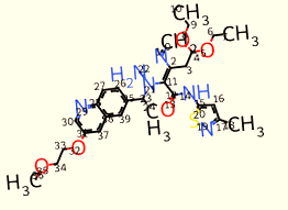 C=N/C(CC(OCC)OCC)=C(/C(=O)Nc1cc(C)ns1)N(N)C(C)c1ccc2ncc(OCCOC)cc2c1